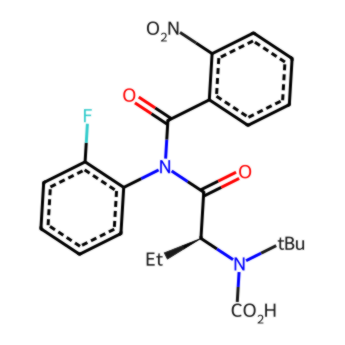 CC[C@@H](C(=O)N(C(=O)c1ccccc1[N+](=O)[O-])c1ccccc1F)N(C(=O)O)C(C)(C)C